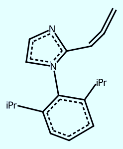 C=C=Cc1nccn1-c1c(C(C)C)cccc1C(C)C